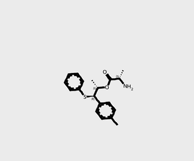 Cc1ccc([C@@H](Sc2ccccc2)[C@H](C)OC(=O)[C@H](C)N)cc1